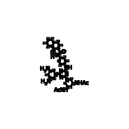 CC(=O)N[C@@H]1C[C@H](NC(C)=O)CN(c2nc(Nc3ccc(NC(=O)c4ccc5ccccc5c4O)cc3)nc(N3C[C@H](N)C[C@H](N)C3)n2)C1